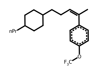 CCCC1CCC(CCC=C(C)c2ccc(OC(F)(F)F)cc2)CC1